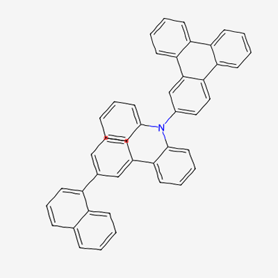 c1ccc(N(c2ccc3c4ccccc4c4ccccc4c3c2)c2ccccc2-c2cccc(-c3cccc4ccccc34)c2)cc1